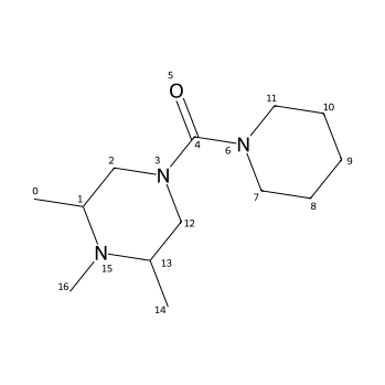 CC1CN(C(=O)N2CCCCC2)CC(C)N1C